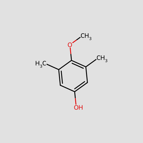 COc1c(C)cc(O)cc1C